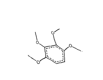 [CH2]Oc1ccc(OC)c(OC)c1OC